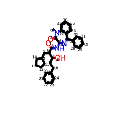 CN1C(=O)C(NC(=O)C(CC2CCCC2)C(O)CCc2ccccc2)N=C(c2ccccc2)c2ccccc21